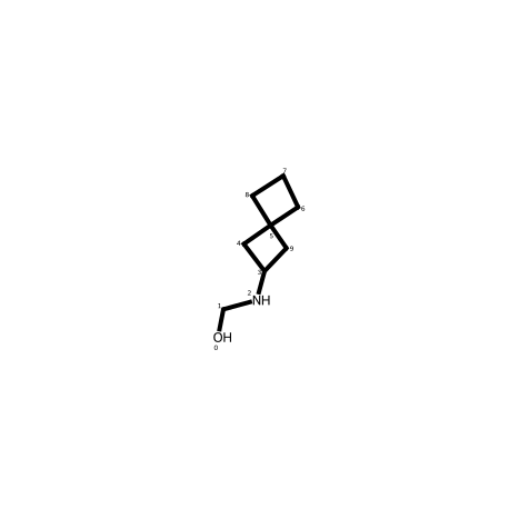 OCNC1CC2(CCC2)C1